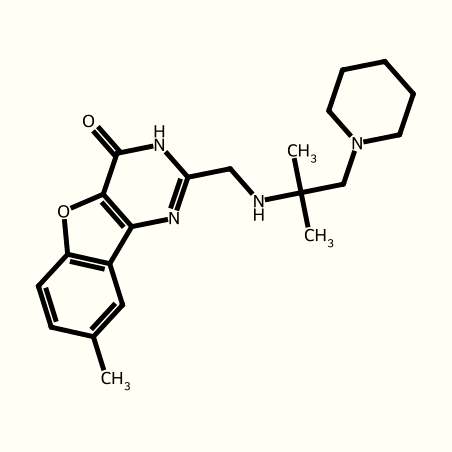 Cc1ccc2oc3c(=O)[nH]c(CNC(C)(C)CN4CCCCC4)nc3c2c1